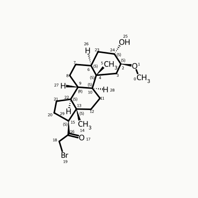 CO[C@H]1C[C@@]2(C)[C@@H](CC[C@@H]3[C@@H]2CC[C@]2(C)[C@@H](C(=O)CBr)CC[C@@H]32)C[C@@H]1O